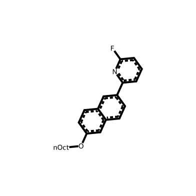 CCCCCCCCOc1ccc2cc(-c3cccc(F)n3)ccc2c1